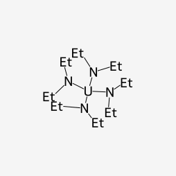 CC[N](CC)[U]([N](CC)CC)([N](CC)CC)[N](CC)CC